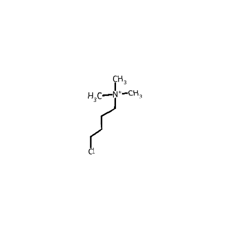 C[N+](C)(C)CCCCCl